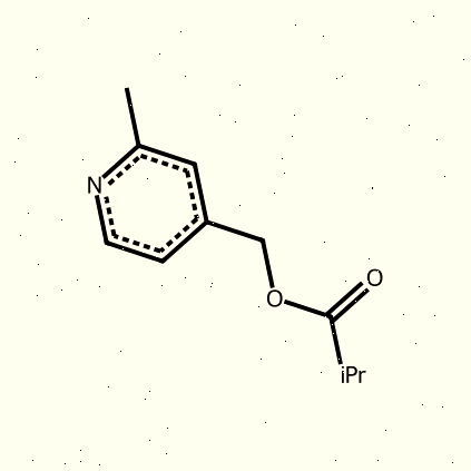 Cc1cc(COC(=O)C(C)C)ccn1